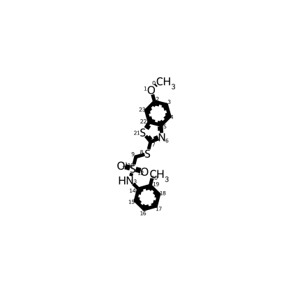 COc1ccc2nc(SCS(=O)(=O)Nc3ccccc3C)sc2c1